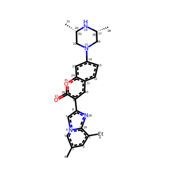 CCc1cc(C)cn2cc(-c3cc4ccc(N5C[C@@H](C)N[C@@H](C)C5)cc4oc3=O)nc12